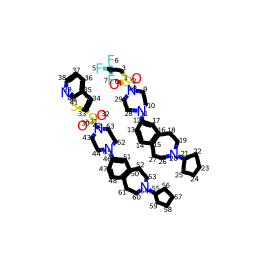 O=S(=O)(CC(F)(F)F)N1CCN(c2ccc3c(c2)CCN(C2CCCC2)CC3)CC1.O=S(=O)(c1cc2cccnc2s1)N1CCN(c2ccc3c(c2)CCN(C2CCCC2)CC3)CC1